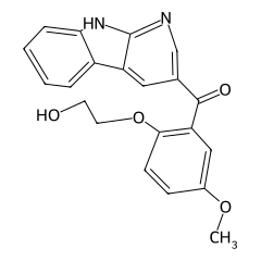 COc1ccc(OCCO)c(C(=O)c2cnc3[nH]c4ccccc4c3c2)c1